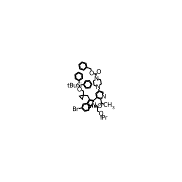 CO[C@@H](C)c1ncc(N2CCN(C(=O)OCc3ccccc3)CC2)cc1-c1c(CC2(CO[Si](c3ccccc3)(c3ccccc3)C(C)(C)C)CC2)c2cc(Br)ccc2n1CCOC(C)C